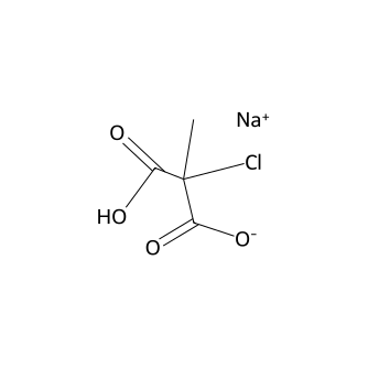 CC(Cl)(C(=O)[O-])C(=O)O.[Na+]